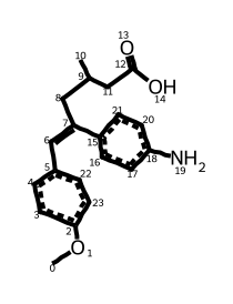 COc1ccc(C=C(CC(C)CC(=O)O)c2ccc(N)cc2)cc1